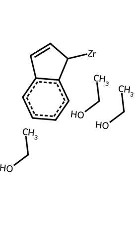 CCO.CCO.CCO.[Zr][CH]1C=Cc2ccccc21